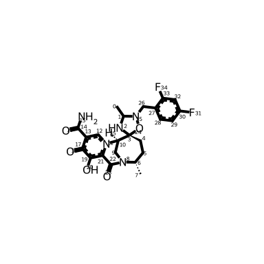 CC1N[C@]2(CC[C@H](C)N3C[C@H]2n2cc(C(N)=O)c(=O)c(O)c2C3=O)ON1Cc1ccc(F)cc1F